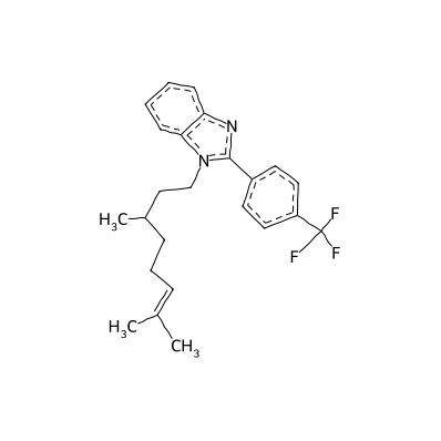 CC(C)=CCCC(C)CCn1c(-c2ccc(C(F)(F)F)cc2)nc2ccccc21